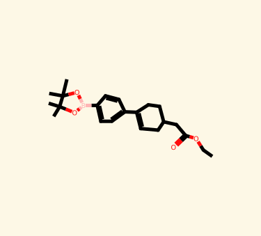 CCOC(=O)CC1CC=C(c2ccc(B3OC(C)(C)C(C)(C)O3)cc2)CC1